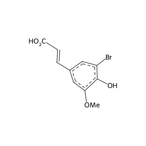 COc1cc(C=CC(=O)O)cc(Br)c1O